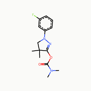 CN(C)C(=O)OC1=NN(c2cccc(F)c2)CC1(C)C